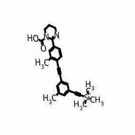 Cc1cc(C#Cc2ccc(C3=NCCCN3C(=O)O)cc2C)cc(C#C[Si](C)(C)C)c1